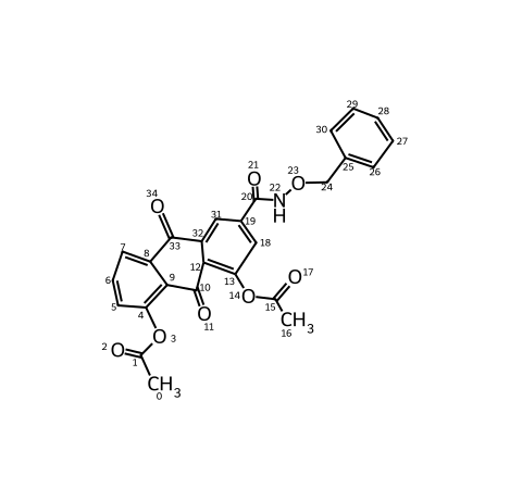 CC(=O)Oc1cccc2c1C(=O)c1c(OC(C)=O)cc(C(=O)NOCc3ccccc3)cc1C2=O